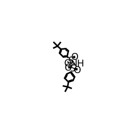 CC(C)(C)c1ccc(S(=O)(=O)NS(=O)(=O)c2ccc(C(C)(C)C)cc2)cc1